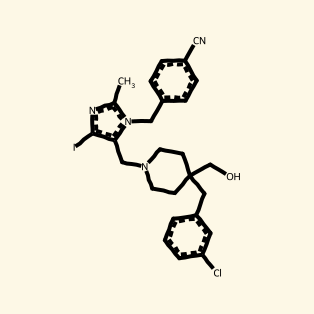 Cc1nc(I)c(CN2CCC(CO)(Cc3cccc(Cl)c3)CC2)n1Cc1ccc(C#N)cc1